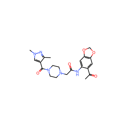 CC(=O)c1cc2c(cc1NC(=O)CN1CCN(C(=O)c3cn(C)nc3C)CC1)OCO2